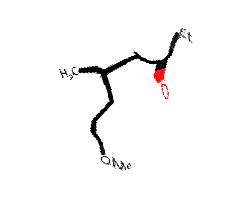 CCC(=O)CC(C)CCOC